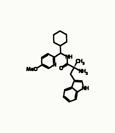 COc1ccc(C(NC(=O)[C@@](C)(N)Cc2c[nH]c3ccccc23)C2CCCCC2)nc1